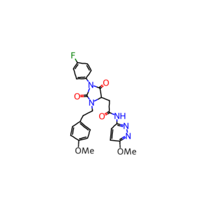 COc1ccc(CCN2C(=O)N(c3ccc(F)cc3)C(=O)C2CC(=O)Nc2ccc(OC)nn2)cc1